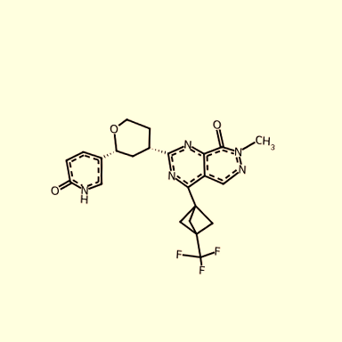 Cn1ncc2c(C34CC(C(F)(F)F)(C3)C4)nc([C@H]3CCO[C@@H](c4ccc(=O)[nH]c4)C3)nc2c1=O